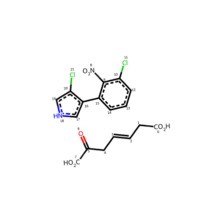 O=C(O)C/C=C/CC(=O)C(=O)O.O=[N+]([O-])c1c(Cl)cccc1-c1c[nH]cc1Cl